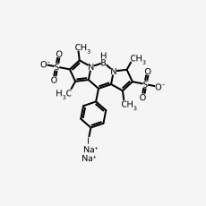 CC1=C(S(=O)(=O)[O-])C(C)N2Bn3c(C)c(S(=O)(=O)[O-])c(C)c3C(c3ccc(I)cc3)=C12.[Na+].[Na+]